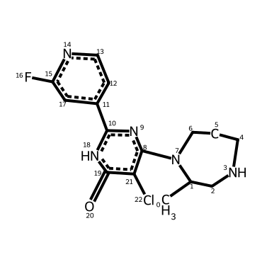 CC1CNCCCN1c1nc(-c2ccnc(F)c2)[nH]c(=O)c1Cl